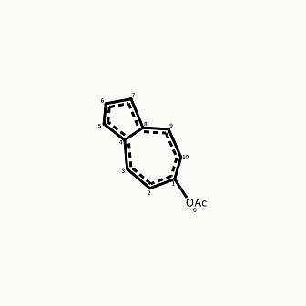 CC(=O)Oc1ccc2cccc-2cc1